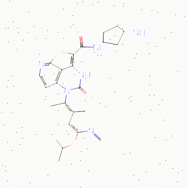 C=N/C(=C\C(C)=C(/C)N1C(=O)Nc2c(C(=O)N[C@@H]3CC[C@H](N)C3)sc3nccc1c23)OC(C)C